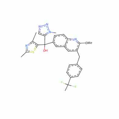 COc1nc2ccc(C(O)(c3sc(C)nc3C)c3cnnn3C)cc2cc1Cc1ccc(C(C)(F)F)cc1